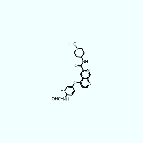 CN1CCC(NC(=O)c2cc3c(OC4=CPC(NC=O)C=C4)ccnc3cn2)CC1